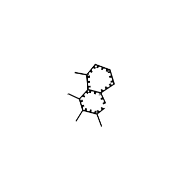 Cc1nc2cccc(C)c2c(Cl)c1C